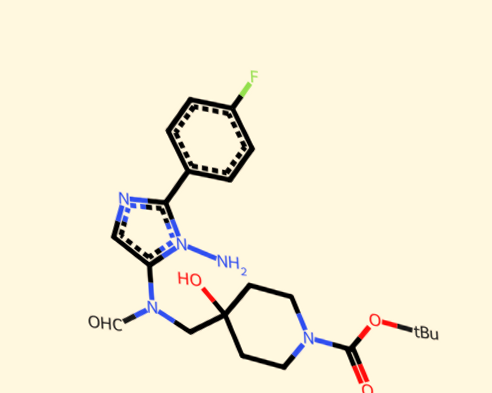 CC(C)(C)OC(=O)N1CCC(O)(CN(C=O)c2cnc(-c3ccc(F)cc3)n2N)CC1